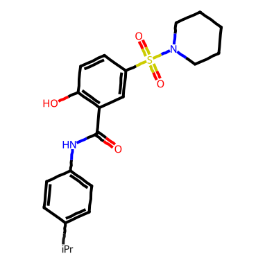 CC(C)c1ccc(NC(=O)c2cc(S(=O)(=O)N3CCCCC3)ccc2O)cc1